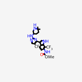 COC(=O)Nc1ccc2c(-c3nc(NC4CCC(C)(C)NC4)ncc3C(F)(F)F)c[nH]c2c1C(F)(F)F